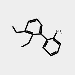 CCc1cccc(-c2ccccc2N)c1CC